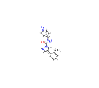 Cc1ccccc1-c1cnn(C(=O)NC2CC3CC2CN3)c1